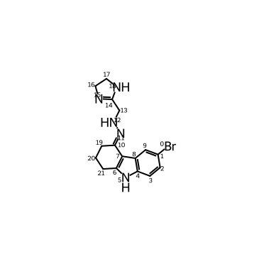 Brc1ccc2[nH]c3c(c2c1)C(=NNCC1=NCCN1)CCC3